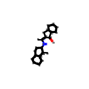 C/C(Nc1ccc2ccccc2c1C)=C1\Cc2ccccc2C1=O